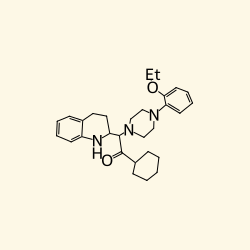 CCOc1ccccc1N1CCN(C(C(=O)C2CCCCC2)C2CCc3ccccc3N2)CC1